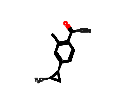 COC(=O)c1ccc([C@H]2C[C@@H]2C(F)(F)F)cc1C